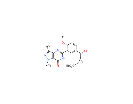 CCCc1nn(C)c2c(=O)[nH]c(-c3cc(C(O)C4CC4C(=O)OCC)ccc3OCC)nc12